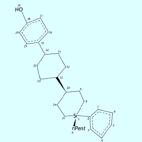 CCCCC[Si@]1(c2ccccc2)CC[C@H](C2CCC(c3ccc(O)cc3)CC2)CC1